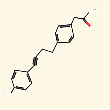 COC(=O)Cc1ccc(CCC#Cc2ccc(C)cc2)cc1